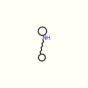 C1CCCCCC(NCCCCCCCC2CCCCCCCC2)CCCC1